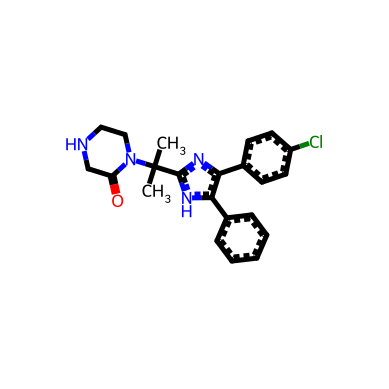 CC(C)(c1nc(-c2ccc(Cl)cc2)c(-c2ccccc2)[nH]1)N1CCNCC1=O